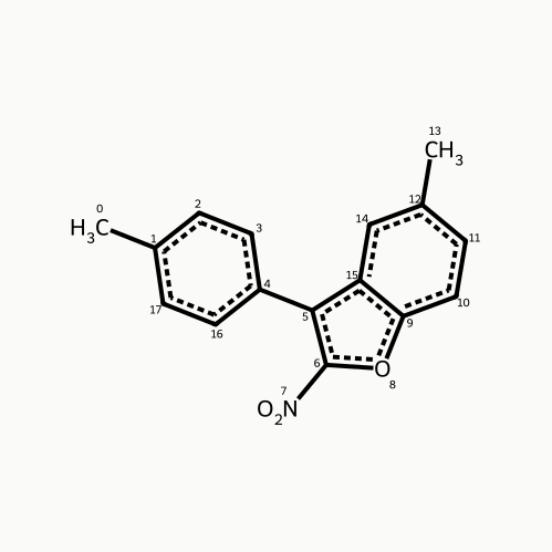 Cc1ccc(-c2c([N+](=O)[O-])oc3ccc(C)cc23)cc1